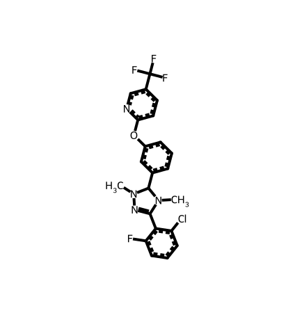 CN1N=C(c2c(F)cccc2Cl)N(C)C1c1cccc(Oc2ccc(C(F)(F)F)cn2)c1